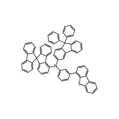 c1ccc(C2(c3ccccc3)c3ccccc3-c3cc(N(c4cccc(-c5cccc6c5sc5ccccc56)c4)c4cccc5c4-c4ccccc4C54c5ccccc5-c5ccccc54)ccc32)cc1